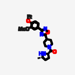 CCOc1ccc(-c2noc(C3CCN(C(=O)[C@H]4CC[C@H](C)N4)CC3)n2)cc1OC